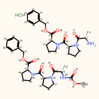 C[C@H](N)C(=O)N1CCC[C@H]1C(=O)N1CCC[C@H]1C(=O)OCc1ccccc1.C[C@H](NC(=O)OC(C)(C)C)C(=O)N1CCC[C@H]1C(=O)N1CCC[C@H]1C(=O)OCc1ccccc1.Cl